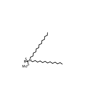 CCCCCCCCCCCCCN(CCCCCCCCCCCCC)C1([S][Mo])SS1